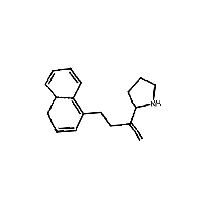 C=C(CCC1=C2C=CC=CC2CC=C1)C1CCCN1